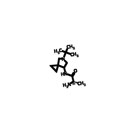 C[C@H](N)C(=O)NC1CN(C(C)(C)C)CC12CC2